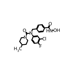 CC1CCN(C(=O)N(Cc2ccc(C(=O)NO)cc2)c2ccc(F)c(Cl)c2)CC1